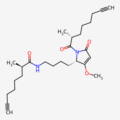 C#CCCCC[C@@H](C)C(=O)NCCCC[C@H]1C(OC)=CC(=O)N1C(=O)[C@H](C)CCCCC#C